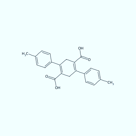 Cc1ccc(C2=C(C(=O)O)CC(c3ccc(C)cc3)=C(C(=O)O)C2)cc1